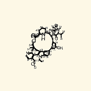 CCn1c(-c2cnccc2COC)c2c3cc(ccc31)-c1cc(O)cc(c1)C[C@H](NC(=O)[C@H](C(C)C)N(C)S(C)(=O)=O)C(=O)N1CCC[C@@](O)(N1)C(=O)OCC(C)(C)C2